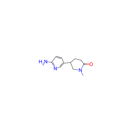 CN1CC(c2ccc(N)nc2)CCC1=O